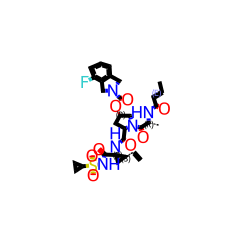 C=C[C@@H]1C[C@]1(NC(=O)C1C[C@@H](OC(=O)N2Cc3cccc(F)c3C2)CN1C(=O)[C@@H](C)NC(=O)/C=C/C)C(=O)NS(=O)(=O)C1CC1